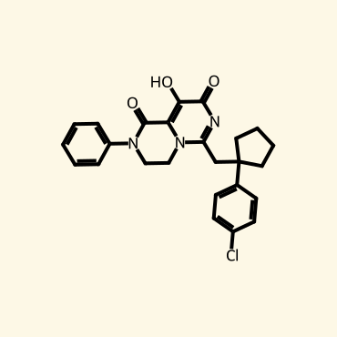 O=C1c2c(O)c(=O)nc(CC3(c4ccc(Cl)cc4)CCCC3)n2CCN1c1ccccc1